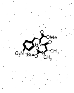 COC(=O)[C@H](Cc1ccc([N+](=O)[O-])cc1)NC(=O)[C@H](C)N(C)C(=O)OC(C)(C)C